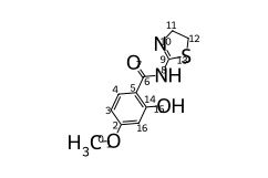 COc1ccc(C(=O)NC2=NCCS2)c(O)c1